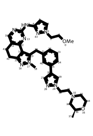 COCCn1ccc(Nc2ncc3c(n2)-c2c(nn(C)c2Cc2cccc(-c4cnn(CCN5CCO[C@@H](C)C5)c4)c2)CC3)n1